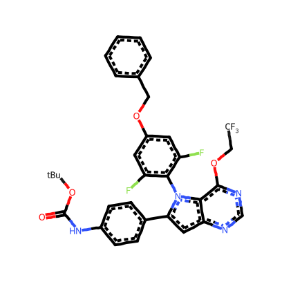 CC(C)(C)OC(=O)Nc1ccc(-c2cc3ncnc(OCC(F)(F)F)c3n2-c2c(F)cc(OCc3ccccc3)cc2F)cc1